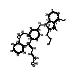 CCCc1nc2c(C)cccc2n1Cc1ccc2c(c1)COc1ccccc1C2=CC=NO